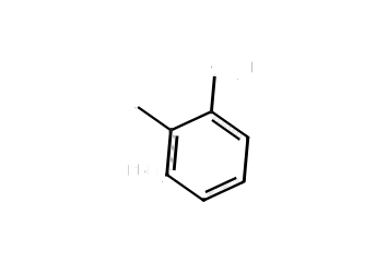 O=C(O)c1ccccc1Cl.[PbH2]